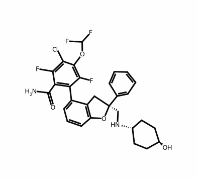 NC(=O)c1c(F)c(Cl)c(OC(F)F)c(F)c1-c1cccc2c1C[C@@](CN[C@H]1CC[C@H](O)CC1)(c1ccccc1)O2